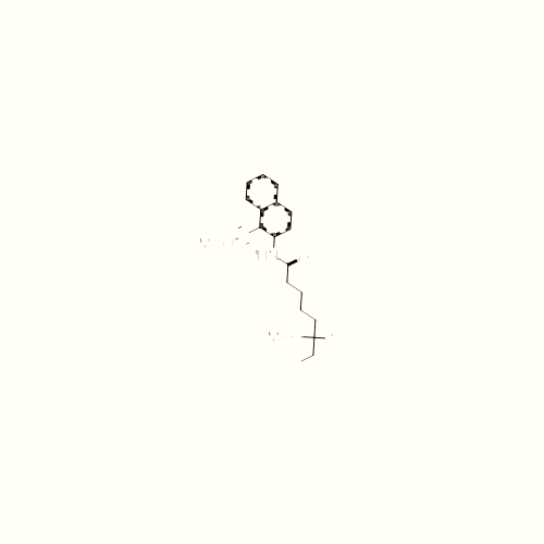 COC(CCCCC(=O)Nc1ccc2ccccc2c1S(=O)(=O)OC)(CC(C)C)C(C)=O